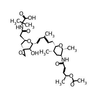 CC(=O)O[C@@H](C)C=CC(=O)N[C@@H]1C[C@H](C)[C@H](CC=C(C)C=C[C@H]2O[C@H](CC(=O)NC(C)(C)C(=O)O)C[C@@]3(CO3)[C@@H]2O)O[C@@H]1C